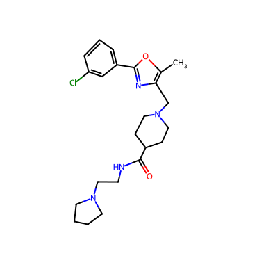 Cc1oc(-c2cccc(Cl)c2)nc1CN1CCC(C(=O)NCCN2CCCC2)CC1